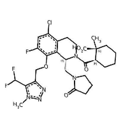 Cn1nnc(COc2c(F)cc(Cl)c3c2[C@@H](CN2CCCC2=O)N(C(=O)[C@@H]2CCCC[C@]2(C)C(=O)O)CC3)c1C(F)F